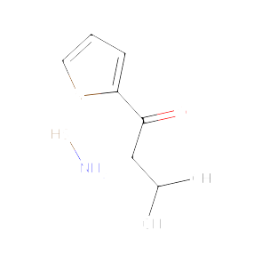 CC(C)CC(=O)c1cccs1.NS